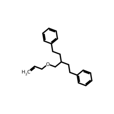 C=CCOCC(CCc1ccccc1)CCc1ccccc1